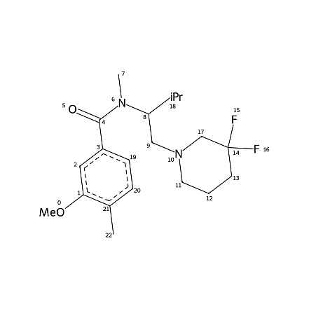 COc1cc(C(=O)N(C)C(CN2CCCC(F)(F)C2)C(C)C)ccc1C